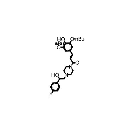 CCCCOc1cc(C=CC(=O)N2CCN(CC(O)c3ccc(F)cc3)CC2)cc(OCCCC)c1O